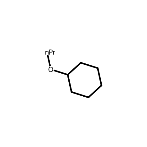 CCCOC1CCCCC1